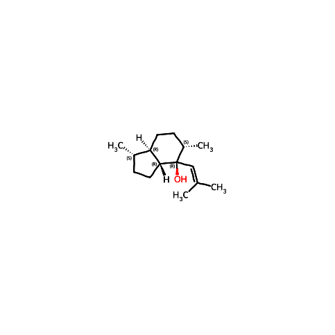 CC(C)=C[C@]1(O)[C@@H]2CC[C@H](C)[C@H]2CC[C@@H]1C